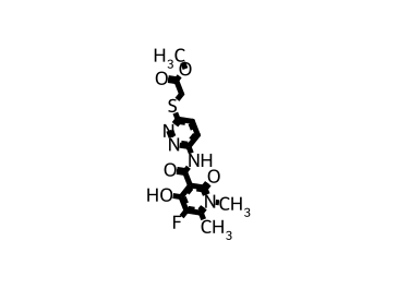 COC(=O)CSc1ccc(NC(=O)c2c(O)c(F)c(C)n(C)c2=O)nn1